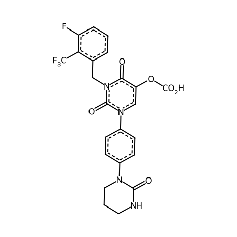 O=C(O)Oc1cn(-c2ccc(N3CCCNC3=O)cc2)c(=O)n(Cc2cccc(F)c2C(F)(F)F)c1=O